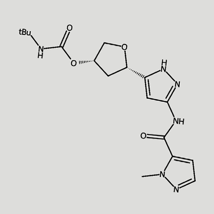 Cn1nccc1C(=O)Nc1cc([C@@H]2C[C@H](OC(=O)NC(C)(C)C)CO2)[nH]n1